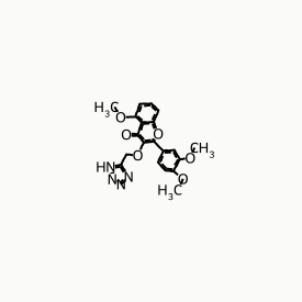 COc1ccc(-c2oc3cccc(OC)c3c(=O)c2OCc2nnn[nH]2)cc1OC